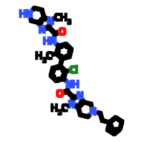 Cc1c(NC(=O)c2nc3c(n2C)CCNC3)cccc1-c1cccc(NC(=O)c2nc3c(n2C)CCN(CCC24CCC(CC2)C4)C3)c1Cl